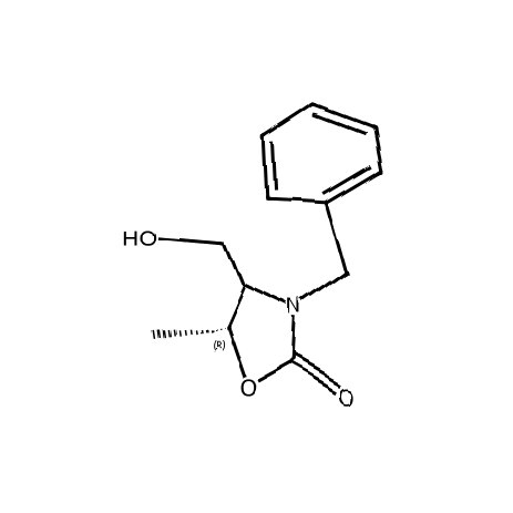 C[C@H]1OC(=O)N(Cc2ccccc2)C1CO